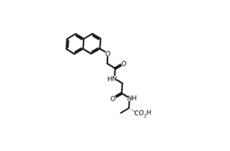 C[C@H](NC(=O)CNC(=O)COc1ccc2ccccc2c1)C(=O)O